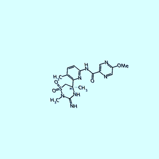 COc1cnc(C(=O)Nc2ccc(C)c([C@]3(C)CS(=O)(=O)N(C)C(=N)N3)n2)cn1